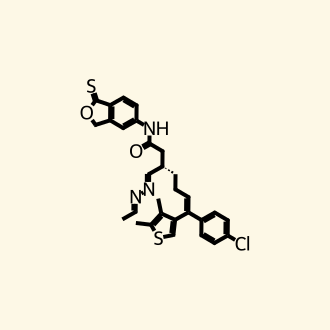 C/C=N/N=C/[C@@H](CC/C=C(/c1ccc(Cl)cc1)c1csc(C)c1C)CC(=O)Nc1ccc2c(c1)COC2=S